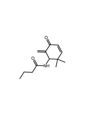 C=C1C(=O)C=CC(C)(C)C1NC(=O)CCC